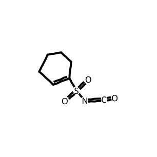 O=C=NS(=O)(=O)C1=CCCCC1